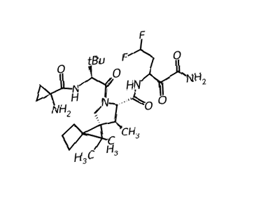 C[C@@H]1[C@@H](C(=O)NC(CC(F)F)C(=O)C(N)=O)N(C(=O)[C@@H](NC(=O)C2(N)CC2)C(C)(C)C)C[C@@]12C(C)(C)C21CCC1